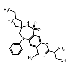 CCCCC1(CC)CN(c2ccccc2)c2cc(SC)c(OC(=O)[C@@H](N)CO)cc2S(=O)(=O)N1